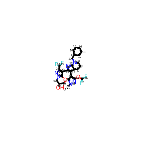 Cn1cc(-c2c3cccn(Cc4ccccc4)c-3nc2-c2c(C(F)F)nn3c2OC[C@@H](O)C3)c(OC(F)F)n1